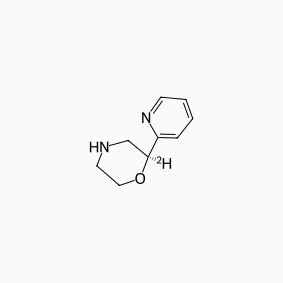 [2H][C@@]1(c2ccccn2)CNCCO1